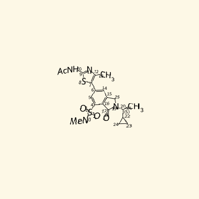 CNS(=O)(=O)c1cc(-c2sc(NC(C)=O)nc2C)cc2c1C(=O)N([C@@H](C)C1CC1)C2